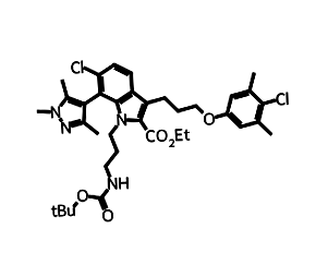 CCOC(=O)c1c(CCCOc2cc(C)c(Cl)c(C)c2)c2ccc(Cl)c(-c3c(C)nn(C)c3C)c2n1CCCNC(=O)OC(C)(C)C